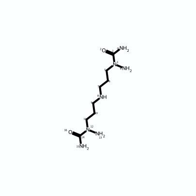 NC(=O)N(N)CCCNCCCN(N)C(N)=O